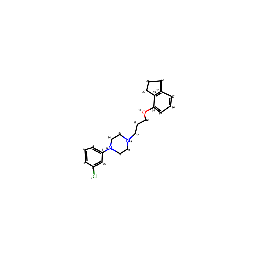 Clc1cccc(N2CCN(CCCOc3cccc4c3CCC4)CC2)c1